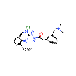 COc1cccc2c1=NC(NNC(=O)Cc1cccc(CN(C)C)c1)N(Cl)C=2